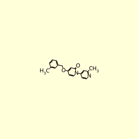 Cc1cccc(COc2ccn(-c3ccnc(C)c3)c(=O)c2)c1